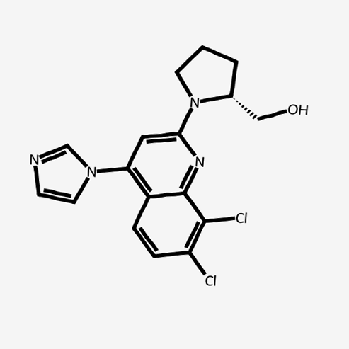 OC[C@H]1CCCN1c1cc(-n2ccnc2)c2ccc(Cl)c(Cl)c2n1